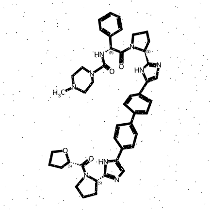 CN1CCN(C(=O)N[C@@H](C(=O)N2CCC[C@H]2c2ncc(-c3ccc(-c4ccc(-c5cnc([C@@H]6CCCN6C(=O)[C@@H]6CCCO6)[nH]5)cc4)cc3)[nH]2)c2ccccc2)CC1